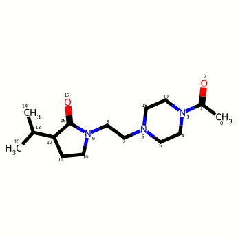 CC(=O)N1CCN(CCN2CCC(C(C)C)C2=O)CC1